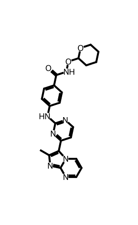 Cc1nc2ncccn2c1-c1ccnc(Nc2ccc(C(=O)NOC3CCCCO3)cc2)n1